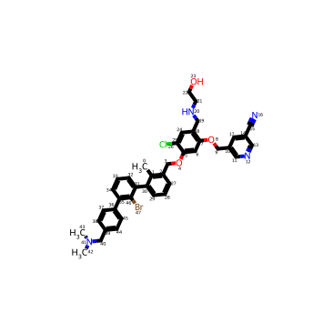 Cc1c(COc2cc(OCc3cncc(C#N)c3)c(CNCCO)cc2Cl)cccc1-c1cccc(-c2ccc(CN(C)C)cc2)c1Br